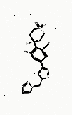 N=[S@]1(=O)CC[C@](F)(c2c(F)cc(C3=NO[C@@H](Cn4ccnn4)C3)cc2F)CC1